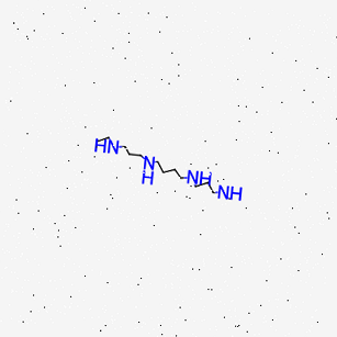 CCNCCCNCCCCNCCCNC